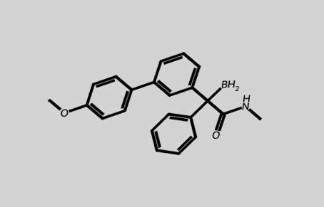 BC(C(=O)NC)(c1ccccc1)c1cccc(-c2ccc(OC)cc2)c1